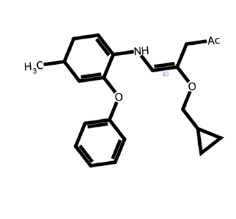 CC(=O)C/C(=C\NC1=CCC(C)C=C1Oc1ccccc1)OCC1CC1